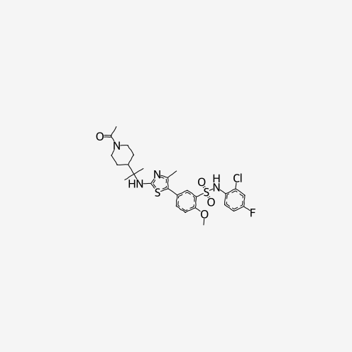 COc1ccc(-c2sc(NC(C)(C)C3CCN(C(C)=O)CC3)nc2C)cc1S(=O)(=O)Nc1ccc(F)cc1Cl